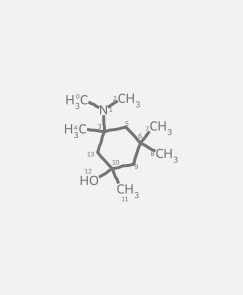 CN(C)C1(C)CC(C)(C)CC(C)(O)C1